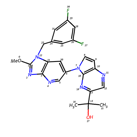 COc1nc2ncc(-n3ccc4ncc(C(C)(C)O)nc43)cc2n1Cc1cc(F)cc(F)c1